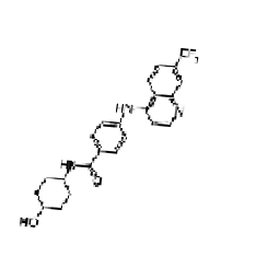 O=C(NC1CCC(O)CC1)c1ccc(Nc2ccnc3cc(C(F)(F)F)ccc23)cc1